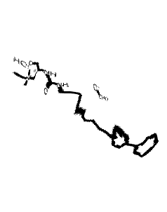 C[N+](C)(C)C[C@@H](CC(=O)O)NC(=O)NCCCCCCCc1ccc(-c2ccccc2)cc1.O=C[O-]